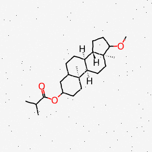 COC1CC[C@H]2[C@@H]3CCC4CC(OC(=O)C(C)C)CC[C@]4(C)[C@@H]3CC[C@]12C